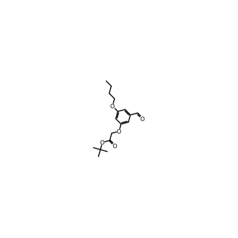 CCCCOc1cc(C=O)cc(OCC(=O)OC(C)(C)C)c1